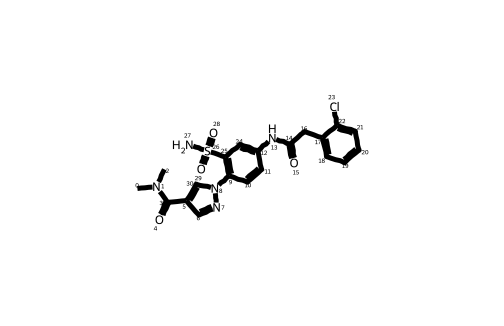 CN(C)C(=O)c1cnn(-c2ccc(NC(=O)Cc3ccccc3Cl)cc2S(N)(=O)=O)c1